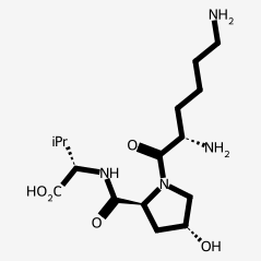 CC(C)[C@H](NC(=O)[C@@H]1C[C@@H](O)CN1C(=O)[C@@H](N)CCCCN)C(=O)O